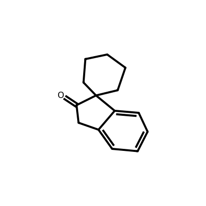 O=C1Cc2ccccc2C12CCCCC2